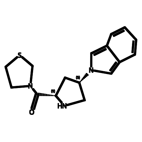 O=C([C@@H]1C[C@H](n2cc3ccccc3c2)CN1)N1CCSC1